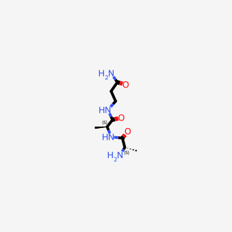 C[C@H](N)C(=O)N[C@@H](C)C(=O)NCCC(N)=O